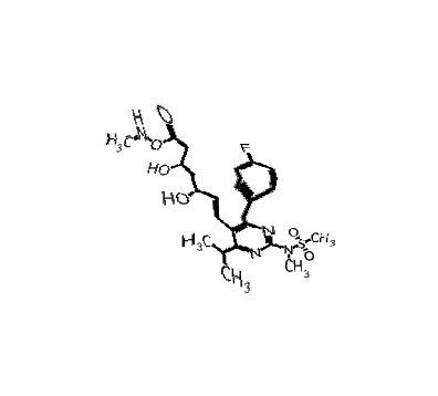 CNOC(=O)C[C@H](O)C[C@H](O)/C=C/c1c(-c2ccc(F)cc2)nc(N(C)S(C)(=O)=O)nc1C(C)C